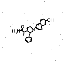 CC(C(N)=O)C1CCN(c2ccc3cc(O)ccc3c2)CC1c1ccccc1